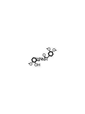 COc1ccc(CC(=O)NNCc2cccc(OC)c2O)cc1OC